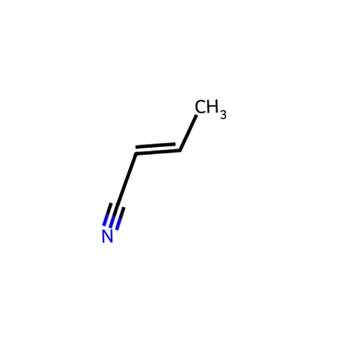 CC=CC#N